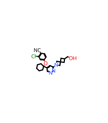 N#Cc1ccc(OC2(c3cnnc(N4CC5(CC(CO)C5)C4)c3)CCCCC2)cc1Cl